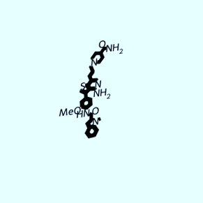 COc1cc(-c2csc3c(C=CCN4CCC(C(N)=O)CC4)cnc(N)c23)ccc1NC(=O)c1cc2ccccc2n1C